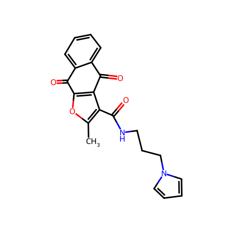 Cc1oc2c(c1C(=O)NCCCn1cccc1)C(=O)c1ccccc1C2=O